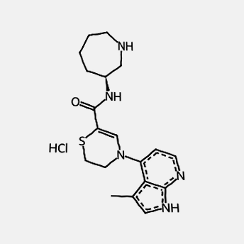 Cc1c[nH]c2nccc(N3C=C(C(=O)N[C@H]4CCCCNC4)SCC3)c12.Cl